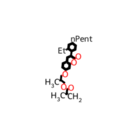 C=C(C)C(=O)OCC(C)COc1ccc2cc(-c3ccc(CCCCC)cc3CC)c(=O)oc2c1